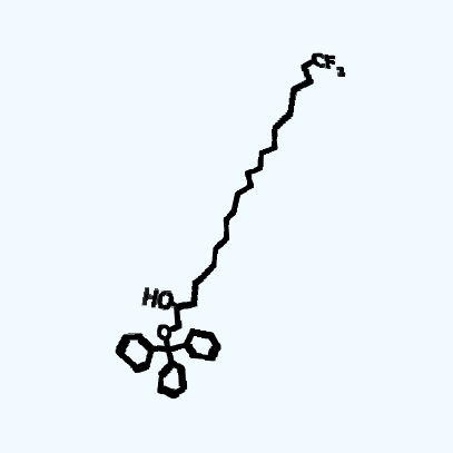 O[C@H](CCCCCCCCCCCCCCCCCCC(F)(F)F)COC(c1ccccc1)(c1ccccc1)c1ccccc1